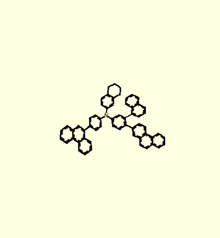 c1ccc2c(-c3cc(N(c4ccc(-c5cc6ccccc6c6ccccc56)cc4)c4ccc5c(c4)CCCC5)ccc3-c3ccc4c(ccc5ccccc54)c3)cccc2c1